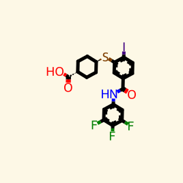 O=C(Nc1cc(F)c(F)c(F)c1)c1ccc(I)c(S[C@H]2CC[C@@H](C(=O)O)CC2)c1